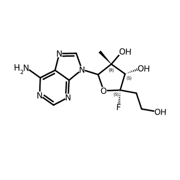 C[C@]1(O)C(n2cnc3c(N)ncnc32)O[C@](F)(CCO)[C@H]1O